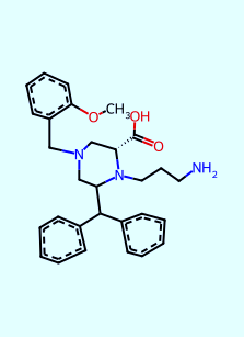 COc1ccccc1CN1CC(C(c2ccccc2)c2ccccc2)N(CCCN)[C@@H](C(=O)O)C1